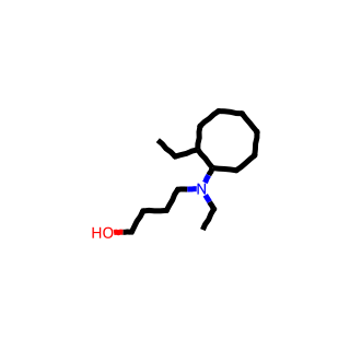 CCC1CCCCCCC1N(CC)CCCCO